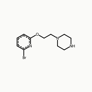 Brc1cccc(OCCN2CCNCC2)n1